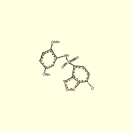 COc1ccc(OC)c(NS(=O)(=O)c2ccc(Cl)c3nonc23)c1